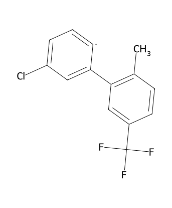 Cc1ccc(C(F)(F)F)cc1-c1[c]ccc(Cl)c1